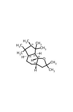 C[C@H]1C(C)(C)[C@H]2[C@@H]3OC(C)(C)C[C@@H]3CC[C@H]2C1(C)C